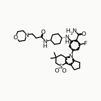 CC1(C)Cc2c(c3c(n2-c2cc(F)c(C(N)=O)c(N[C@H]4CC[C@H](NC(=O)CCN5CCOCC5)CC4)c2)CCC3)S(=O)(=O)C1